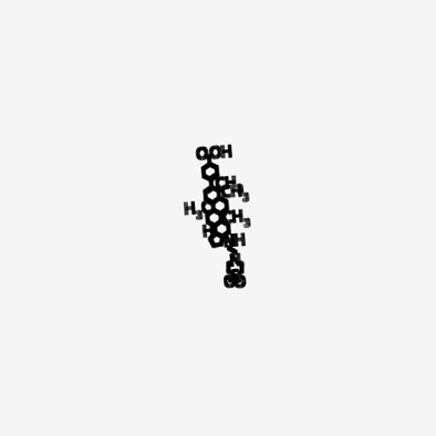 CC1(C)C(C2=CCC(C(=O)O)CC2)=CCC2(C)C1CCC1(C)C3CCC4(NCCN5CCS(=O)(=O)CC5)CCC[C@@H]4C3CCC12